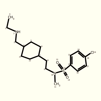 CCNCC1CCC(CCN(C)S(=O)(=O)c2ccc(Cl)cc2)CC1